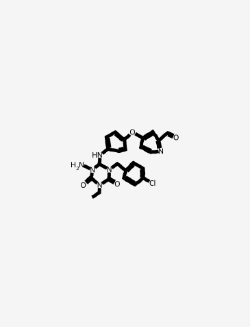 CCN1C(=O)N(N)C(Nc2ccc(Oc3ccnc(C=O)c3)cc2)N(Cc2ccc(Cl)cc2)C1=O